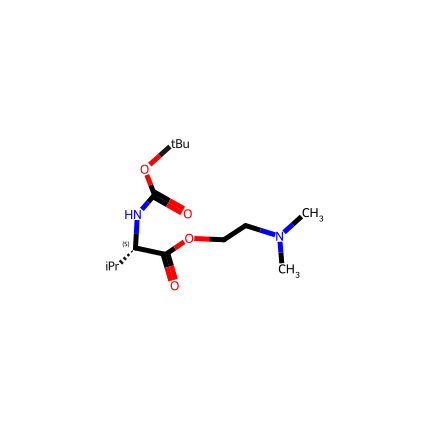 CC(C)[C@H](NC(=O)OC(C)(C)C)C(=O)OCCN(C)C